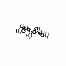 CCN(C)C=Nc1cc(C)c(Oc2cccc(C(OC)C(Cl)(Cl)Cl)c2)cc1C